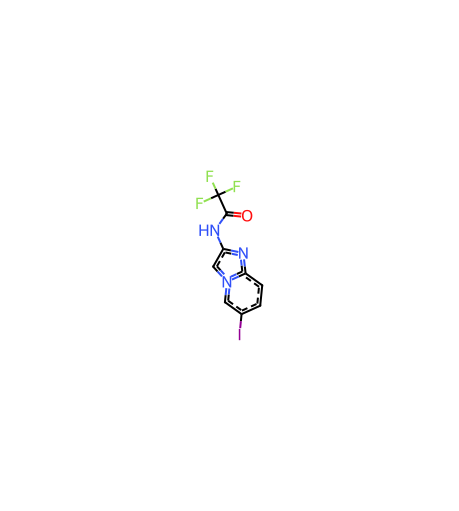 O=C(Nc1cn2cc(I)ccc2n1)C(F)(F)F